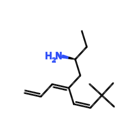 C=C/C=C(\C=C/C(C)(C)C)C[C@@H](N)CC